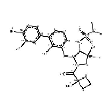 CN(C)S(=O)(=O)N[C@@H]1[C@H](Cc2cccc(-c3ccc(Br)c(F)c3)c2F)N(C(=O)C2(O)CCC2)CC1(F)F